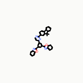 CC1(C)c2ccccc2-c2ccc(-c3nccc(-c4cc(-c5nc6ccccc6o5)cc(-c5nc6ccccc6o5)c4)n3)cc21